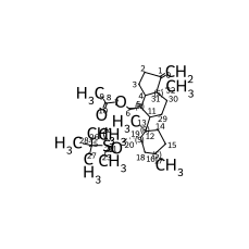 C=C1CCC2[C@H](COC(C)=O)C([C@@]3(C)CC[C@H](C)C[C@@H]3CO[Si](C)(C)C(C)(C)C)CC[C@]12C